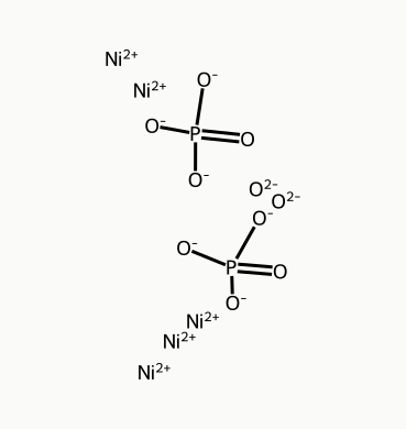 O=P([O-])([O-])[O-].O=P([O-])([O-])[O-].[Ni+2].[Ni+2].[Ni+2].[Ni+2].[Ni+2].[O-2].[O-2]